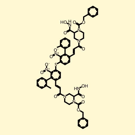 Cc1ccccc1-c1c(/C=C/C(=O)N2CCN(C(=O)OCc3ccccc3)C(C(=O)NO)C2)ccc(Sc2ccc(/C=C/C(=O)N3CCN(C(=O)OCc4ccccc4)C(C(=O)NO)C3)c(-c3ccccc3C)c2[N+](=O)[O-])c1[N+](=O)[O-]